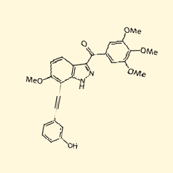 COc1cc(C(=O)c2n[nH]c3c(C#Cc4cccc(O)c4)c(OC)ccc23)cc(OC)c1OC